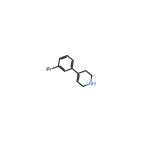 CC(C)c1cccc(C2=CCN[CH]C2)c1